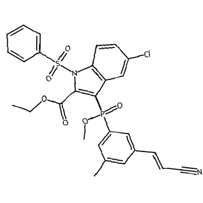 CCOC(=O)c1c(P(=O)(OC)c2cc(C)cc(/C=C/C#N)c2)c2cc(Cl)ccc2n1S(=O)(=O)c1ccccc1